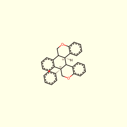 c1ccc([C@@]23COc4ccccc4C2[C@@H]2c4ccccc4OCC2c2ccccc23)cc1